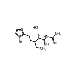 CCC(CCc1sccc1Br)NC(=N)NC(=N)N.Cl